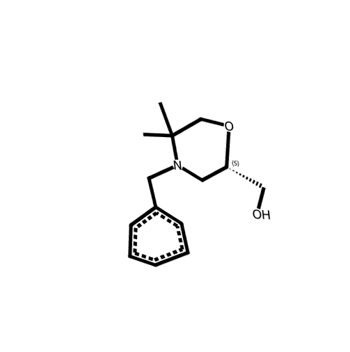 CC1(C)CO[C@H](CO)CN1Cc1ccccc1